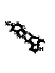 Cc1cc(C)c2[nH]ccc2c1Cn1cc2ccc(C#N)cc2n1